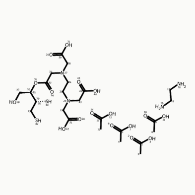 CC(=O)O.CC(=O)O.CC(=O)O.CC(=O)O.NCCN.O=C(O)CN(CCN(CC(=O)O)CC(=O)O[C@H](CO)[C@H](S)CS)CC(=O)O